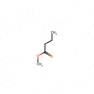 CC[CH]C(=S)OC